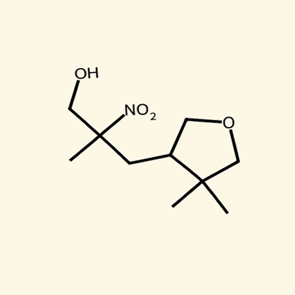 CC1(C)COCC1CC(C)(CO)[N+](=O)[O-]